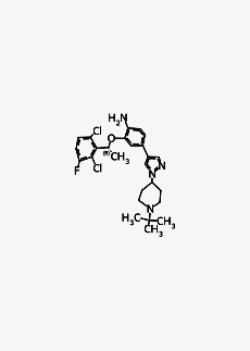 C[C@@H](Oc1cc(-c2cnn(C3CCN(C(C)(C)C)CC3)c2)ccc1N)c1c(Cl)ccc(F)c1Cl